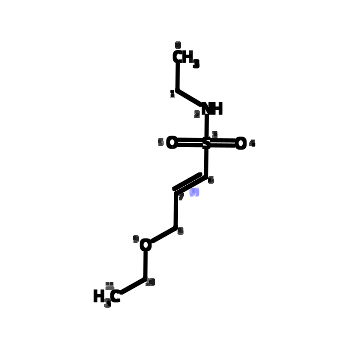 CCNS(=O)(=O)/C=C/COCC